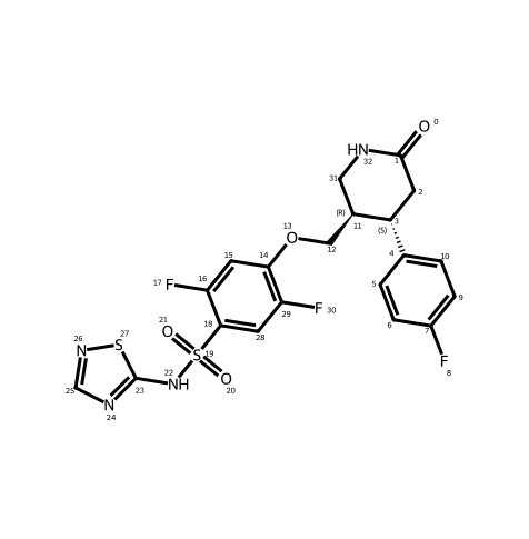 O=C1C[C@H](c2ccc(F)cc2)[C@@H](COc2cc(F)c(S(=O)(=O)Nc3ncns3)cc2F)CN1